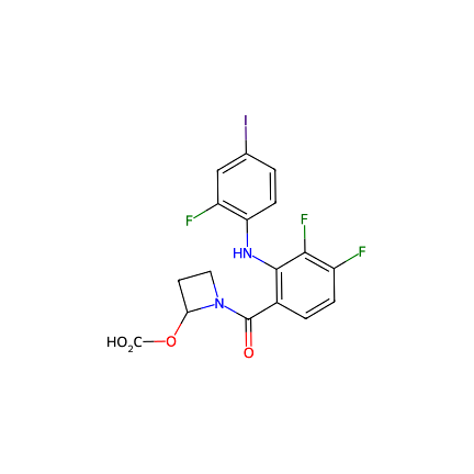 O=C(O)OC1CCN1C(=O)c1ccc(F)c(F)c1Nc1ccc(I)cc1F